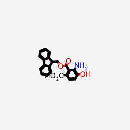 Nc1c(O)ccc(C(=O)O)c1C(=O)OCC1c2ccccc2-c2ccccc21